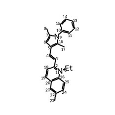 CC[n+]1c(/C=C/c2cc(C)n(-c3ccccc3)c2C)ccc2cc(C)ccc21